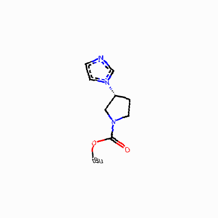 CC(C)(C)OC(=O)N1CC[C@@H](n2ccnc2)C1